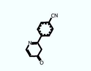 N#Cc1ccc(C2=NC=CC(=O)C2)cc1